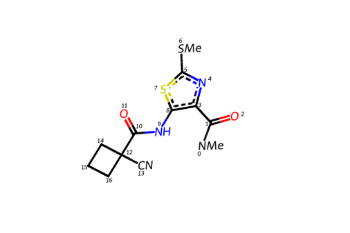 CNC(=O)c1nc(SC)sc1NC(=O)C1(C#N)CCC1